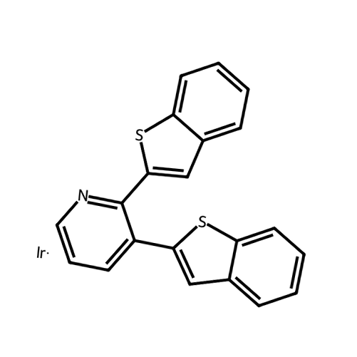 [Ir].c1cnc(-c2cc3ccccc3s2)c(-c2cc3ccccc3s2)c1